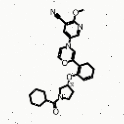 COc1ncc(N2C=COC(C3=C(O[C@H]4CCN(C(=O)C5CCCCC5)C4)C=CCC3)=C2)cc1C#N